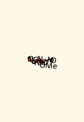 COc1cc2c(Nc3ccc(CC4CCCO4)cc3)c(C#N)cnc2cc1OCCCN1CCOCC1